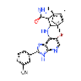 N#Cc1cccc(-c2nc3c(NC4C(C(N)=O)[C@@H]5C=C[C@H]4C5)c(Br)cnc3[nH]2)c1